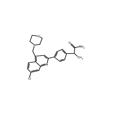 CC(C(N)=O)c1ccc(-c2cc(CN3CCOCC3)c3ccc(Cl)cc3n2)cc1